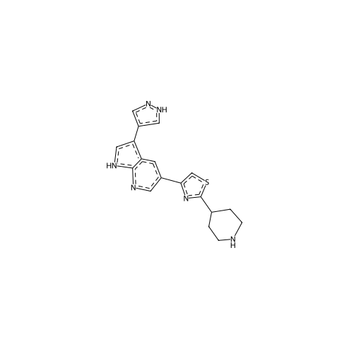 c1nc2[nH]cc(-c3cn[nH]c3)c2cc1-c1csc(C2CCNCC2)n1